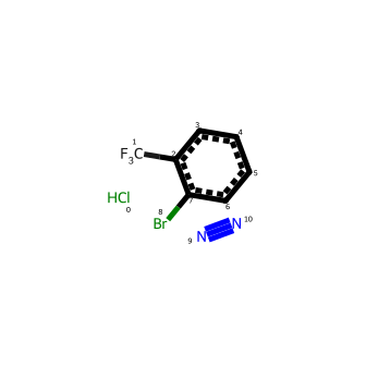 Cl.FC(F)(F)c1ccccc1Br.N#N